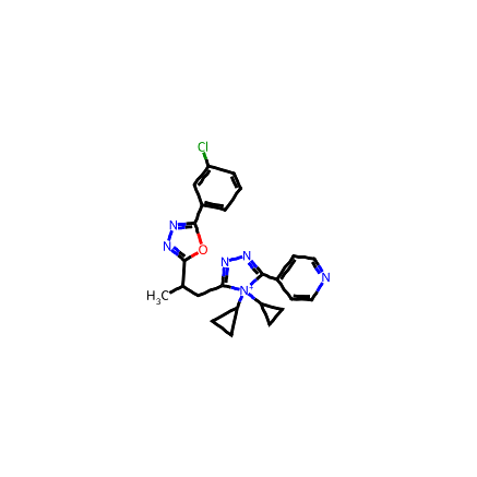 CC(CC1=NN=C(c2ccncc2)[N+]1(C1CC1)C1CC1)c1nnc(-c2cccc(Cl)c2)o1